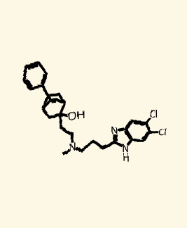 CN(CCCc1nc2cc(Cl)c(Cl)cc2[nH]1)CCC1(O)CC2CCC1C=C2c1ccccc1